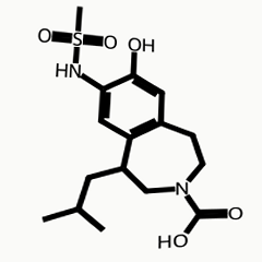 CC(C)CC1CN(C(=O)O)CCc2cc(O)c(NS(C)(=O)=O)cc21